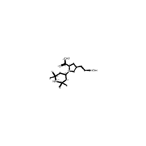 CCCCCCCCCCCCC1CC(C(=O)C=O)N(C2CC(C)(C)NC(C)(C)C2)C1